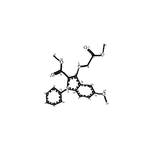 COC(=O)COc1c(C(=O)OC)n(-c2ccccc2)c2ccc(OC)cc12